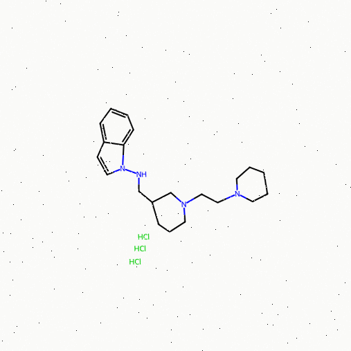 Cl.Cl.Cl.c1ccc2c(c1)ccn2NCC1CCCN(CCN2CCCCC2)C1